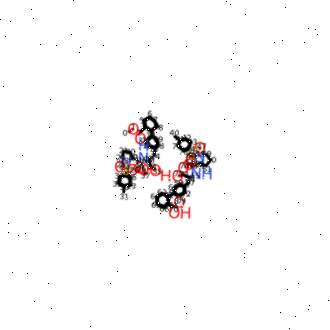 COC(=O)c1ccccc1-c1ccc(C[C@H](NC(=O)[C@@H]2CCCN2S(=O)(=O)c2ccc(C)cc2)C(=O)OC)cc1.Cc1ccc(S(=O)(=O)N2CCC[C@H]2C(=O)N[C@@H](Cc2ccc(-c3ccccc3C(=O)O)cc2)C(=O)O)cc1